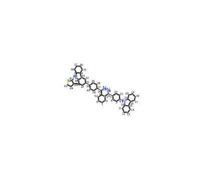 c1ccc2c(-c3ccc(-n4c5ccccc5c5ccccc54)cc3)nnc(-c3ccc(-c4cc5c6ccccc6n6c7sccc7c(c4)c56)cc3)c2c1